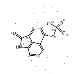 O=C1Nc2cccc3c(OS(=O)(=O)Cl)ccc1c23